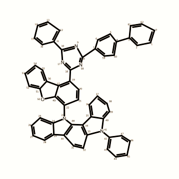 c1ccc(-c2ccc(-c3nc(-c4ccccc4)nc(-c4ccc(-n5c6ccccc6c6ccc7c(c8ccccc8n7-c7ccccc7)c65)c5oc6ccccc6c45)n3)cc2)cc1